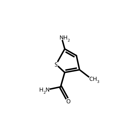 Cc1cc(N)sc1C(N)=O